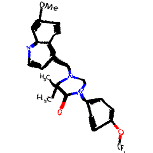 COc1ccc2c(CN3CN(c4ccc(OC(F)(F)F)cc4)C(=O)C3(C)C)ccnc2c1